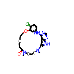 CN1CCCN(C)C(=O)CCCCCOc2cc(ccc2Cl)Nc2ncnc3[nH]cc(c23)C1